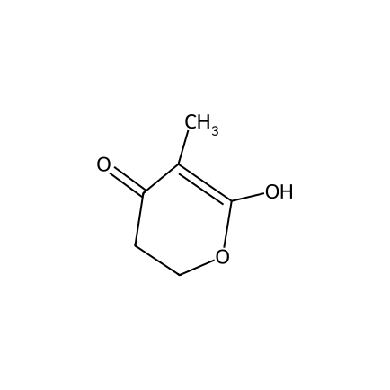 CC1=C(O)OCCC1=O